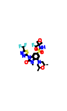 C[C@H]1CN(c2cc(S(=O)(=O)NC3(CF)COC3)cc3c2n(C)c(=O)n3-c2nnc(C(F)F)s2)C[C@H](C)O1